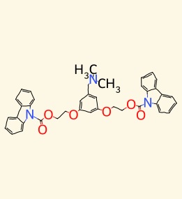 CN(C)Cc1cc(OCCOC(=O)n2c3ccccc3c3ccccc32)cc(OCCOC(=O)n2c3ccccc3c3ccccc32)c1